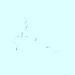 CCCCCCCC(=O)OC[C@]1(CN=[N+]=[N-])CC[C@H](C)O1